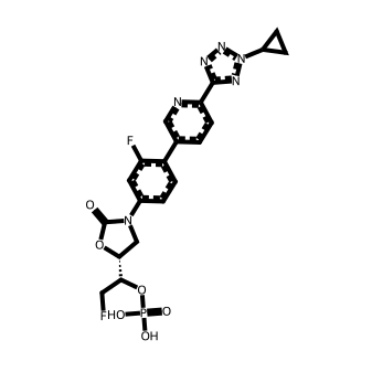 O=C1O[C@@H](C(CF)OP(=O)(O)O)CN1c1ccc(-c2ccc(-c3nnn(C4CC4)n3)nc2)c(F)c1